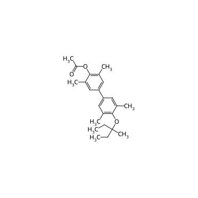 CCC(C)(CC)Oc1c(C)cc(-c2cc(C)c(OC(C)=O)c(C)c2)cc1C